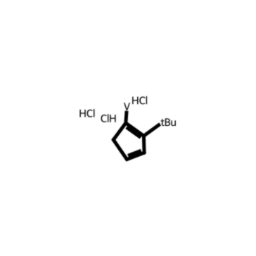 CC(C)(C)C1=[C]([V])CC=C1.Cl.Cl.Cl